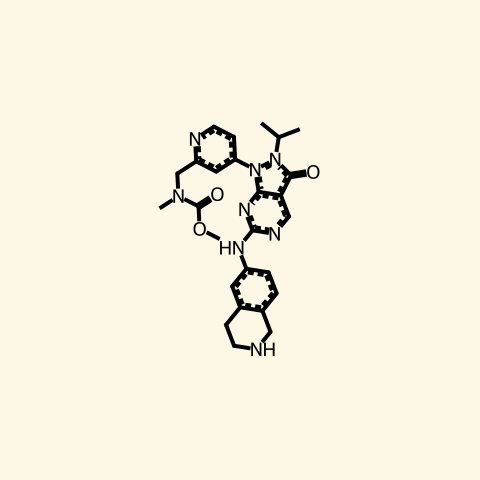 COC(=O)N(C)Cc1cc(-n2c3nc(Nc4ccc5c(c4)CCNC5)ncc3c(=O)n2C(C)C)ccn1